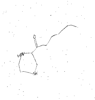 [CH2]CCCCC(=O)C1CNCCN1